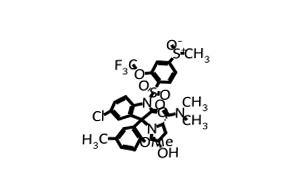 COc1ccc(C)cc1C1(N2C[C@H](O)C[C@H]2C(=O)N(C)C)C(=O)N(S(=O)(=O)c2ccc([S+](C)[O-])cc2OC(F)(F)F)c2ccc(Cl)cc21